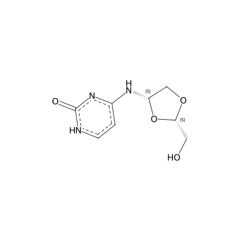 O=c1nc(N[C@@H]2CO[C@H](CO)O2)cc[nH]1